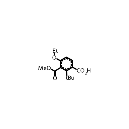 CCOc1ccc(C(=O)O)c(C(C)(C)C)c1C(=O)OC